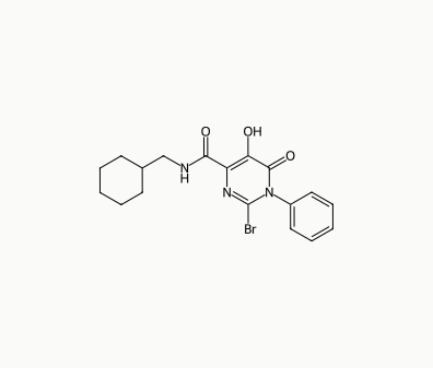 O=C(NCC1CCCCC1)c1nc(Br)n(-c2ccccc2)c(=O)c1O